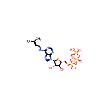 CC(C)=CCNc1ncnc2c1ncn2[C@@H]1O[C@H](COP(=O)(O)OP(=O)(O)OP(=O)(O)O)C(O)[C@@H]1O